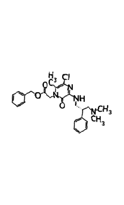 Cc1c(Cl)nc(NC[C@H](CN(C)C)c2ccccc2)c(=O)n1CC(=O)OCc1ccccc1